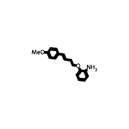 COc1ccc(C=CCCOc2ccccc2N)cc1